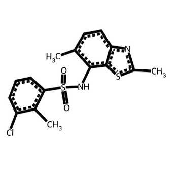 Cc1nc2ccc(C)c(NS(=O)(=O)c3cccc(Cl)c3C)c2s1